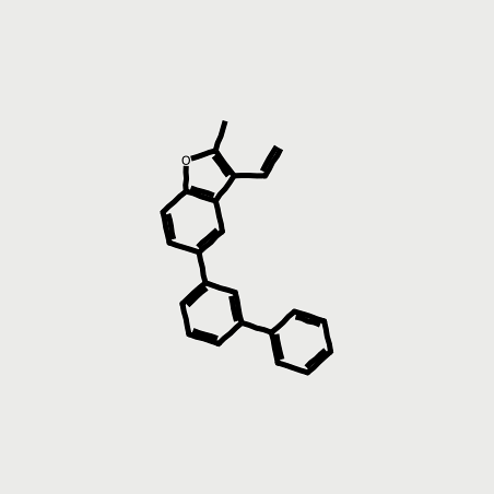 C=Cc1c(C)oc2ccc(-c3cccc(-c4ccccc4)c3)cc12